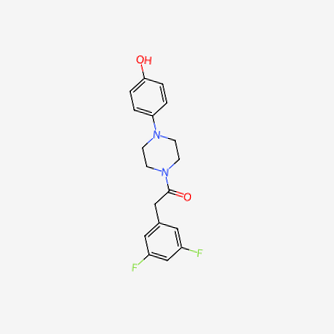 O=C(Cc1cc(F)cc(F)c1)N1CCN(c2ccc(O)cc2)CC1